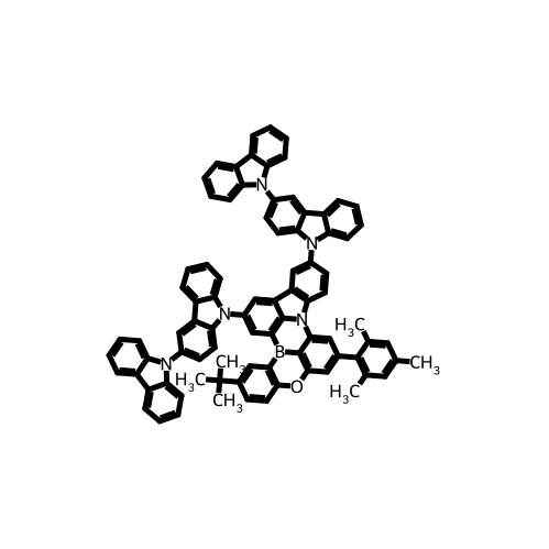 Cc1cc(C)c(-c2cc3c4c(c2)-n2c5ccc(-n6c7ccccc7c7cc(-n8c9ccccc9c9ccccc98)ccc76)cc5c5cc(-n6c7ccccc7c7cc(-n8c9ccccc9c9ccccc98)ccc76)cc(c52)B4c2cc(C(C)(C)C)ccc2O3)c(C)c1